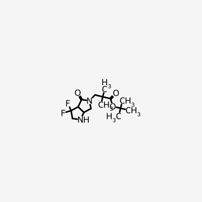 CC(C)(C)OC(=O)C(C)(C)CN1CC2NCC(F)(F)C2C1=O